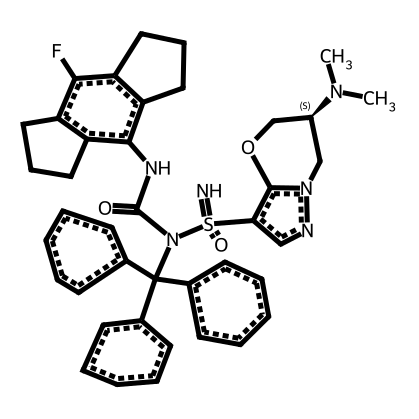 CN(C)[C@@H]1COc2c(S(=N)(=O)N(C(=O)Nc3c4c(c(F)c5c3CCC5)CCC4)C(c3ccccc3)(c3ccccc3)c3ccccc3)cnn2C1